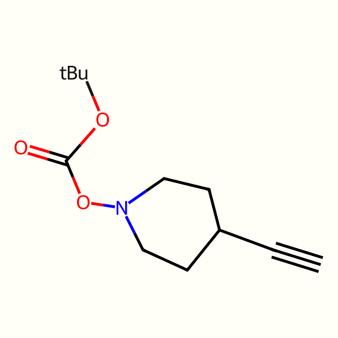 C#CC1CCN(OC(=O)OC(C)(C)C)CC1